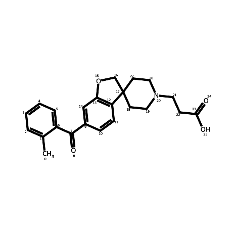 Cc1ccccc1C(=O)c1ccc2c(c1)OCC21CCN(CCC(=O)O)CC1